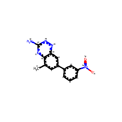 Cc1cc(-c2cccc([N+](=O)[O-])c2)cc2nnc(N)nc12